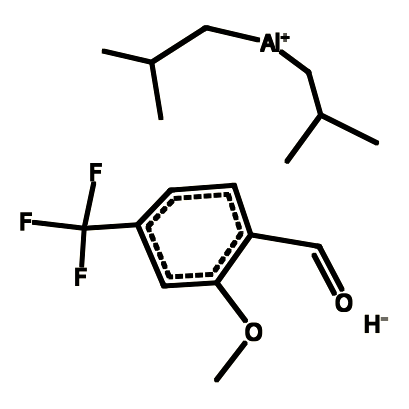 CC(C)[CH2][Al+][CH2]C(C)C.COc1cc(C(F)(F)F)ccc1C=O.[H-]